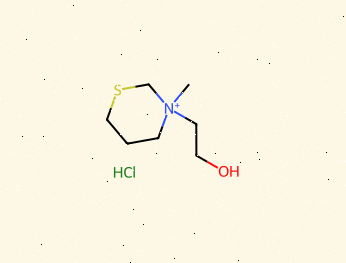 C[N+]1(CCO)CCCSC1.Cl